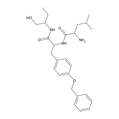 CCC(CO)NC(=O)C(Cc1ccc(OCc2ccccc2)cc1)NC(=O)C(N)CC(C)C